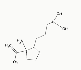 C=C(O)C1(N)CCSC1CCCB(O)O